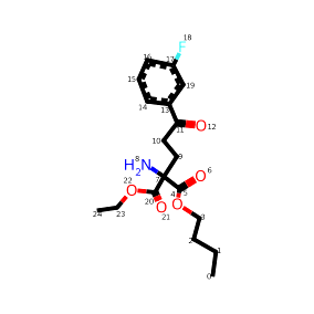 CCCCOC(=O)C(N)(CCC(=O)c1cccc(F)c1)C(=O)OCC